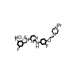 CC(C)N1CCN(CCOc2ccc(Nc3nccc(N(Cc4cc(F)cc(F)c4)C(=O)O)n3)cc2F)CC1